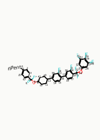 CCCCCc1ccc(C(F)(F)OC2CCC(c3ccc(-c4ccc(C(F)(F)Oc5cc(F)c(F)c(F)c5)c(F)c4)c(F)c3)CC2)cc1